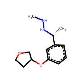 CNN[C@H](C)c1cccc(OC2CCOC2)c1